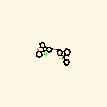 ClC1(c2ccc(Oc3ccc(C4(Cl)c5ccccc5Oc5ccccc54)cc3)cc2)c2ccccc2Oc2ccccc21